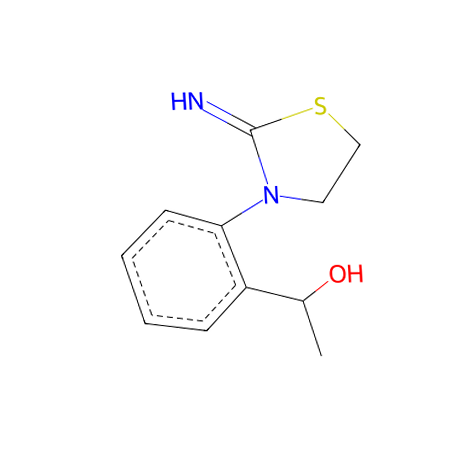 CC(O)c1ccccc1N1CCSC1=N